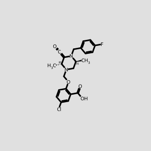 C[C@@H]1C(=C=O)N(Cc2ccc(F)cc2)[C@@H](C)CN1COc1ccc(Cl)cc1C(=O)O